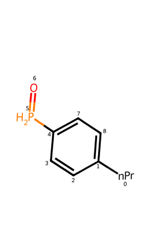 CCCc1ccc([PH2]=O)cc1